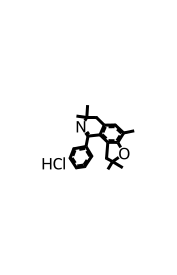 Cc1cc2c(c3c1OC(C)(C)C3)C(c1ccccc1)=NC(C)(C)C2.Cl